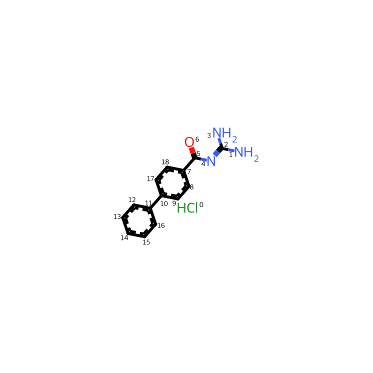 Cl.NC(N)=NC(=O)c1ccc(-c2ccccc2)cc1